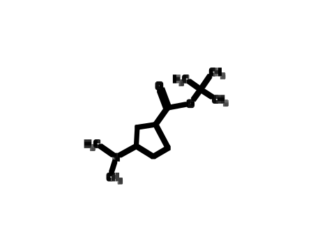 CN(C)C1CCC(C(=O)OC(C)(C)C)C1